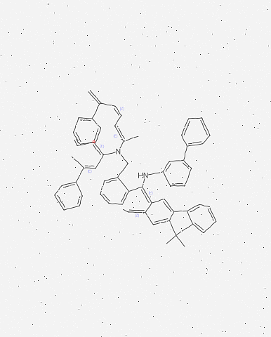 C=C/C=C(\C=C(/C)c1ccccc1)N(Cc1ccccc1/C(Nc1cccc(-c2ccccc2)c1)=c1/cc2c(c/c1=C/C)C(C)(C)c1ccccc1-2)/C(C)=C/C=C\C(=C)c1ccccc1